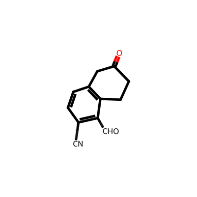 N#Cc1ccc2c(c1C=O)CCC(=O)C2